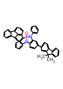 CC1(C)c2ccccc2-c2ccc(-c3ccc4c(c3)N(c3ccccc3)P(=O)(c3ccc5c6c(cccc36)-c3ccccc3-5)N4c3ccccc3)cc21